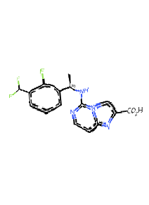 C[C@@H](Nc1nccc2nc(C(=O)O)cn12)c1cccc(C(F)F)c1F